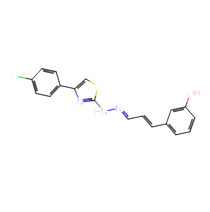 Oc1cccc(C=CC=NNc2nc(-c3ccc(Cl)cc3)cs2)c1